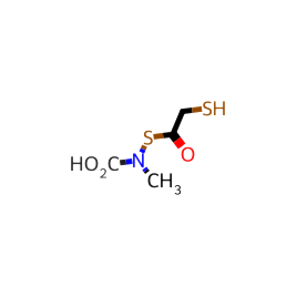 CN(SC(=O)CS)C(=O)O